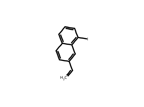 C=Cc1ccc2cccc(I)c2c1